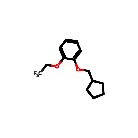 FC(F)(F)COc1ccccc1OCC1CCCC1